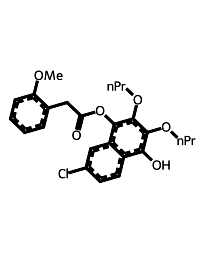 CCCOc1c(OCCC)c(OC(=O)Cc2ccccc2OC)c2cc(Cl)ccc2c1O